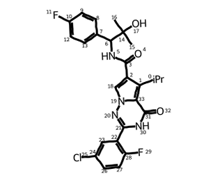 CC(C)c1c(C(=O)NC(c2ccc(F)cc2)C(C)(C)O)cn2nc(-c3cc(Cl)ccc3F)[nH]c(=O)c12